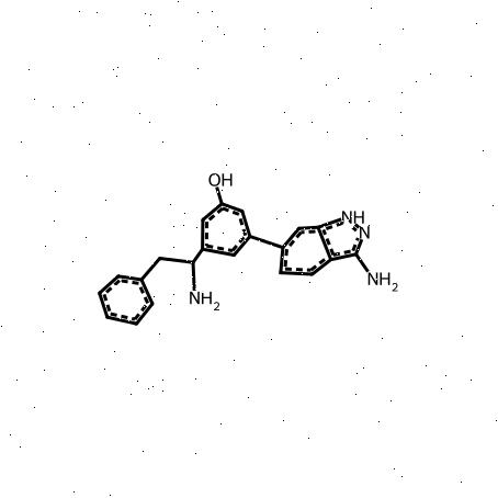 Nc1n[nH]c2cc(-c3cc(O)cc(C(N)Cc4ccccc4)c3)ccc12